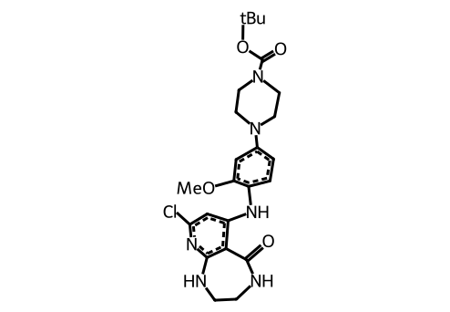 COc1cc(N2CCN(C(=O)OC(C)(C)C)CC2)ccc1Nc1cc(Cl)nc2c1C(=O)NCCN2